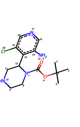 CC(C)(C)OC(=O)N1CCNCC1c1c(N)cncc1Cl